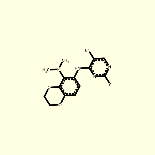 CP(C)c1c(Nc2nc(Cl)ncc2Br)ccc2c1OCCO2